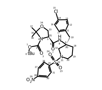 CC(C)(C)OC(=O)N1[C@H](C(=O)N[C@@]2(Cc3ccc(Cl)cc3)CCCN(S(=O)(=O)c3ccc([N+](=O)[O-])cc3)C2)COC1(C)C